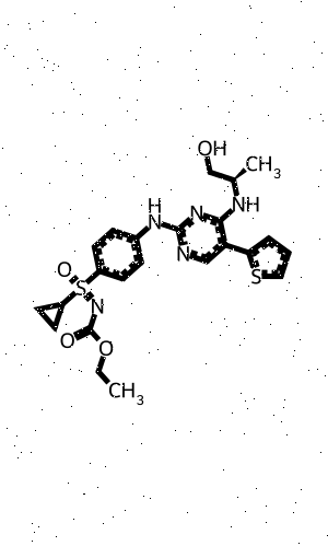 CCOC(=O)N=S(=O)(c1ccc(Nc2ncc(-c3cccs3)c(N[C@H](C)CO)n2)cc1)C1CC1